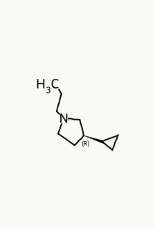 CCCN1CC[C@H](C2CC2)C1